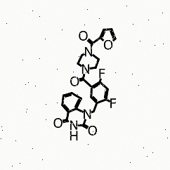 O=C(c1ccco1)N1CCN(C(=O)c2cc(Cn3c(=O)[nH]c(=O)c4ccccc43)c(F)cc2F)CC1